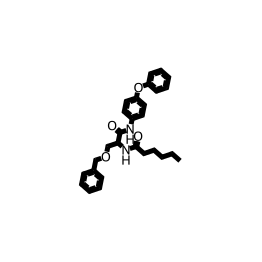 CCCCCC(=O)NC(COCc1ccccc1)C(=O)Nc1ccc(Oc2ccccc2)cc1